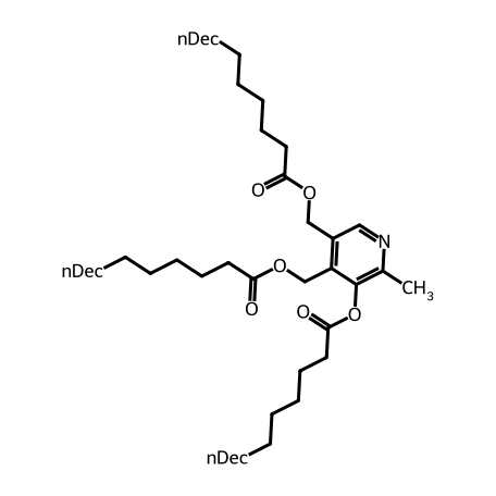 CCCCCCCCCCCCCCCC(=O)OCc1cnc(C)c(OC(=O)CCCCCCCCCCCCCCC)c1COC(=O)CCCCCCCCCCCCCCC